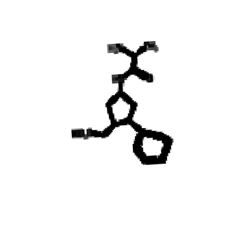 C[C@H](N)C(=O)NC1CC(CC(=O)O)C(c2ccccc2)C1